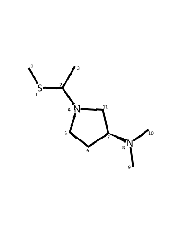 CSC(C)N1CC[C@H](N(C)C)C1